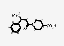 COC(CC(=O)N1CCC(C(=O)O)CC1)c1ccccc1